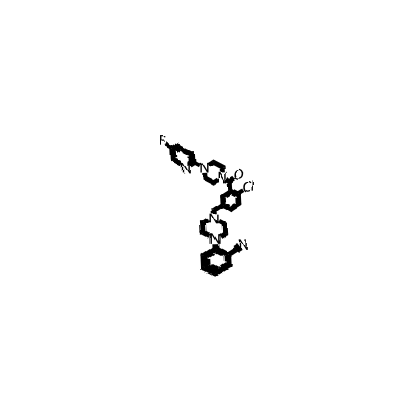 N#Cc1ccccc1N1CCN(Cc2ccc(Cl)c(C(=O)N3CCN(c4ccc(F)cn4)CC3)c2)CC1